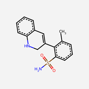 Cc1cccc(S(N)(=O)=O)c1C1=Cc2ccccc2NC1